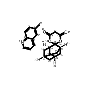 Ic1ccc2ncccc2c1.O=C1CC(=O)OC2(O1)[C@H]1C[C@H]3C[C@H](C1)C[C@H]2C3